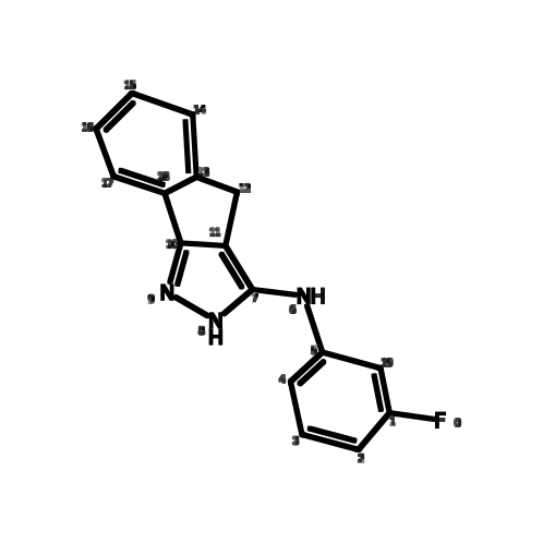 Fc1cccc(Nc2[nH]nc3c2Cc2ccccc2-3)c1